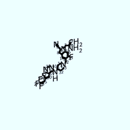 C=C(N)Cn1c(C#N)cc2cc(CN3CCC(Nc4ncnc5sc(CC(F)(F)F)cc45)CC3)c(F)cc21